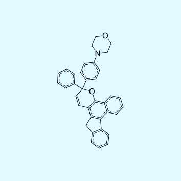 C1=CC(c2ccccc2)(c2ccc(N3CCOCC3)cc2)Oc2c1c1c(c3ccccc23)-c2ccccc2C1